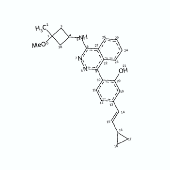 COC1(C)CC(Nc2nnc(-c3ccc(/C=C/C4CC4)cc3O)c3ccccc23)C1